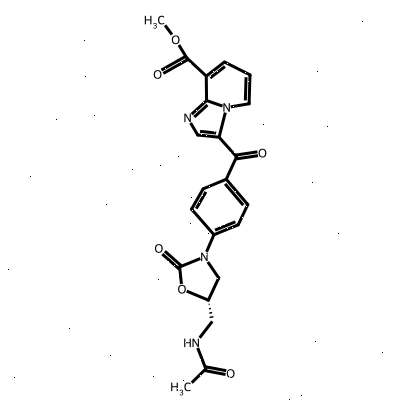 COC(=O)c1cccn2c(C(=O)c3ccc(N4C[C@H](CNC(C)=O)OC4=O)cc3)cnc12